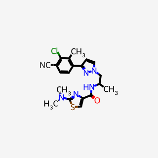 Cc1c(-c2ccn(CC(C)NC(=O)c3csc(N(C)C)n3)n2)ccc(C#N)c1Cl